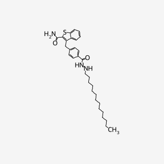 CCCCCCCCCCCCCCNNC(=O)c1ccc(Cc2c(C(N)=O)sc3ccccc23)cc1